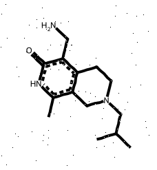 Cc1[nH]c(=O)c(CN)c2c1CN(CC(C)C)CC2